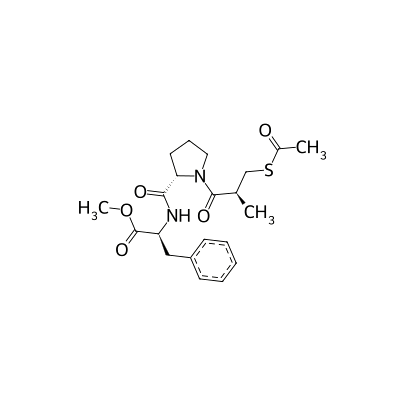 COC(=O)[C@H](Cc1ccccc1)NC(=O)[C@@H]1CCCN1C(=O)[C@H](C)CSC(C)=O